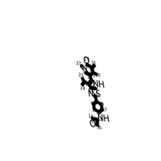 Cc1c(-c2[nH]c3sc(C4CCC(NC5COC5)CC4)nc3c2C(C)C)cn(C)c(=O)c1C